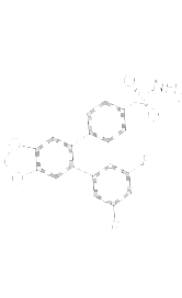 NS(=O)(=O)c1ccc(-c2cc3c(cc2-c2cc(F)cc(F)c2)OCO3)cc1